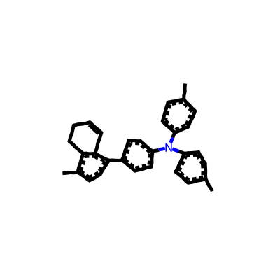 Cc1ccc(N(c2ccc(C)cc2)c2ccc(-c3ccc(C)c4c3C=CCC4)cc2)cc1